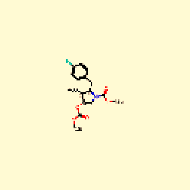 CC(=O)O[C@@H]1[C@@H](OC(=O)OC(C)(C)C)CN(C(=O)OC(C)(C)C)[C@@H]1Cc1ccc(F)cc1